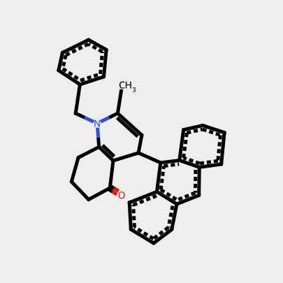 CC1=CC(c2c3ccccc3cc3ccccc23)C2=C(CCCC2=O)N1Cc1ccccc1